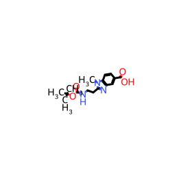 Cn1c(CCNC(=O)OC(C)(C)C)nc2cc(C(=O)O)ccc21